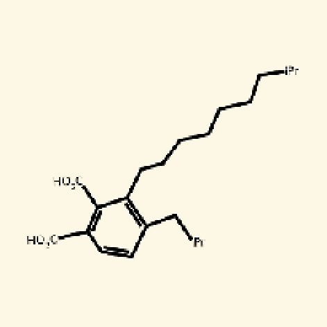 CC(C)CCCCCCCc1c(CC(C)C)ccc(C(=O)O)c1C(=O)O